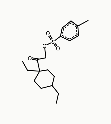 CCC1CCC(CC)(C(=O)COS(=O)(=O)c2ccc(C)cc2)CC1